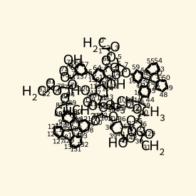 C=CC(=O)OCC(COc1ccc(C2(c3ccc(C(CC)(CC)OCC(COC(=O)C=C)OC(=O)C4CC=CCC4C(=O)O)cc3)c3ccccc3-c3ccccc32)cc1)OC(=O)c1cc(-c2ccc(C(=O)O)c(C(=O)OC(COC(=O)C=C)COC(CC)(CC)c3ccc(C4(c5ccc(OCC(COC(=O)C=C)OC(=O)C6CC=CCC6C(=O)O)cc5)c5ccccc5-c5ccccc54)cc3)c2)ccc1C(=O)O